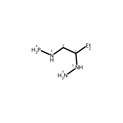 CCC(CNP)NN